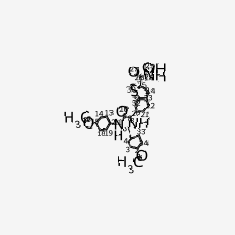 COc1ccc(CNC(C(=O)Nc2ccc(OC)cc2)c2ccc3cc(C(=O)NO)sc3c2)cc1